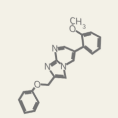 COc1ccccc1-c1cnc2nc(COc3ccccc3)cn2c1